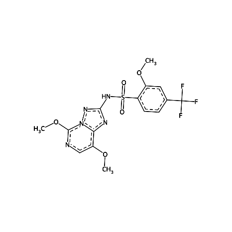 COc1cc(C(F)(F)F)ccc1S(=O)(=O)Nc1nc2c(OC)cnc(OC)n2n1